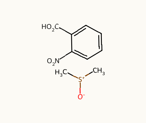 C[S+](C)[O-].O=C(O)c1ccccc1[N+](=O)[O-]